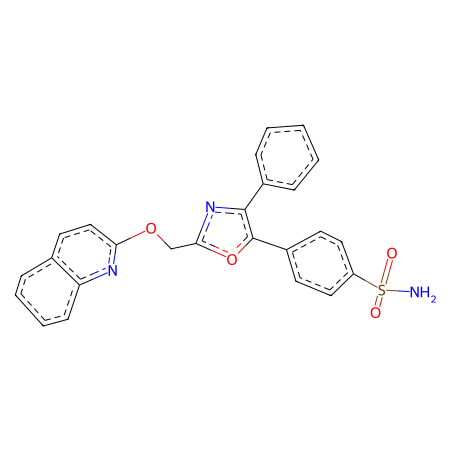 NS(=O)(=O)c1ccc(-c2oc(COc3ccc4ccccc4n3)nc2-c2ccccc2)cc1